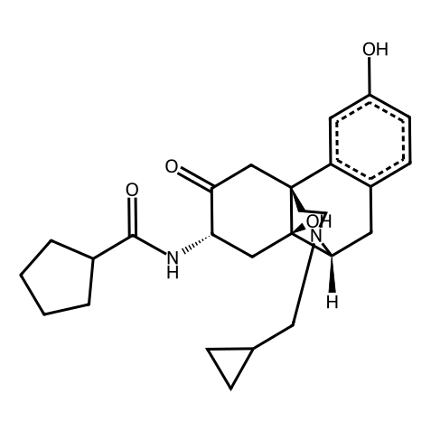 O=C(N[C@H]1C[C@@]2(O)[C@H]3Cc4ccc(O)cc4[C@@]2(CCN3CC2CC2)CC1=O)C1CCCC1